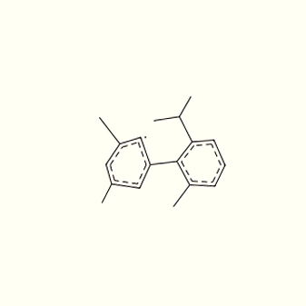 Cc1[c]c(-c2c(C)cccc2C(C)C)cc(C)c1